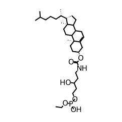 CCOP(O)OCCC(O)CCNC(=O)O[C@@H]1CC[C@]2(C)C(=CCC3C2CC[C@]2(C)C3CC[C@H]2[C@@H](C)CCCC(C)C)C1